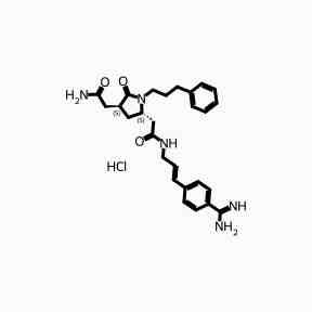 Cl.N=C(N)c1ccc(C=CCNC(=O)C[C@@H]2C[C@@H](CC(N)=O)C(=O)N2CCCc2ccccc2)cc1